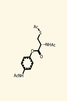 CC(=O)Nc1ccc(OC(=O)[C@H](CSC(C)=O)NC(C)=O)cc1